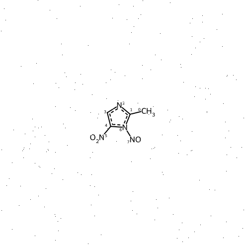 Cc1ncc([N+](=O)[O-])n1N=O